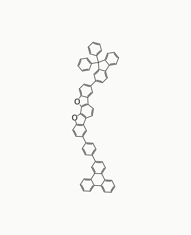 c1ccc(C2(c3ccccc3)c3ccccc3-c3ccc(-c4ccc5oc6c(ccc7c8cc(-c9ccc(-c%10ccc%11c%12ccccc%12c%12ccccc%12c%11c%10)cc9)ccc8oc76)c5c4)cc32)cc1